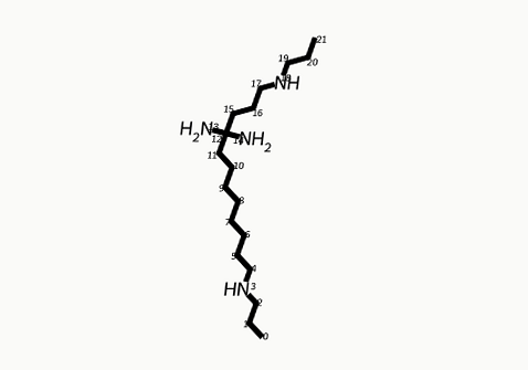 CCCNCCCCCCCCC(N)(N)CCCNCCC